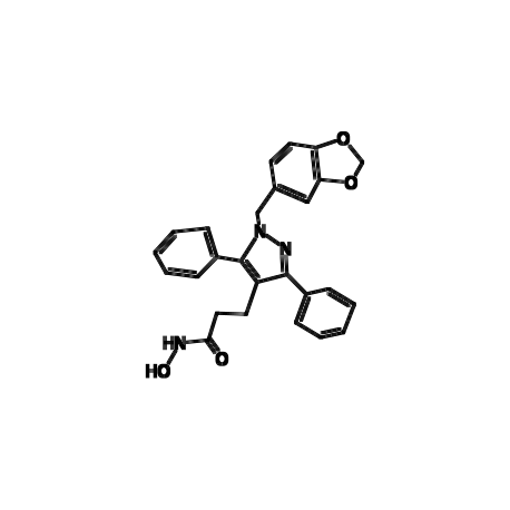 O=C(CCc1c(-c2ccccc2)nn(Cc2ccc3c(c2)OCO3)c1-c1ccccc1)NO